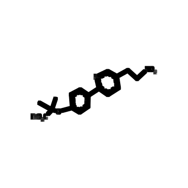 CCOC(=O)C(C)(C)Oc1ccc(-c2ccc(CC[N+](=O)[O-])cn2)cc1